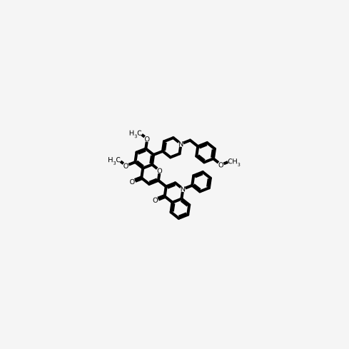 COc1ccc(CN2CC=C(c3c(OC)cc(OC)c4c(=O)cc(-c5cn(-c6ccccc6)c6ccccc6c5=O)oc34)CC2)cc1